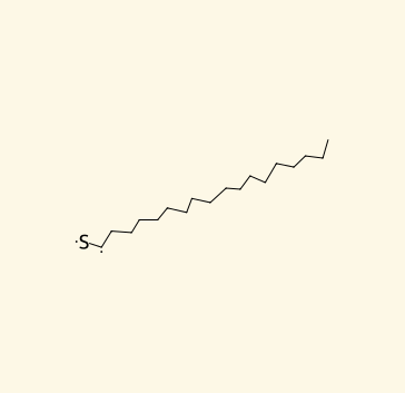 CCCCCCCCCCCCCCCCC[CH][S]